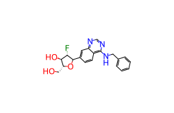 OC[C@H]1OC(c2ccc3c(NCc4ccccc4)ncnc3c2)[C@@H](F)[C@@H]1O